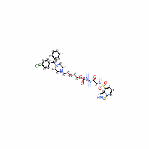 O=C(CNS(=O)(=O)C1=CC=CN2SNC=C12)NNC(=O)OCCOCCN1CCN(C(c2ccccc2)c2ccc(Cl)cc2)CC1